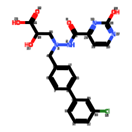 O=C(NN(Cc1ccc(-c2cccc(Cl)c2)cc1)CC(O)C(=O)O)c1ccnc(O)n1